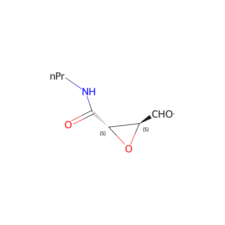 CCCNC(=O)[C@H]1O[C@@H]1[C]=O